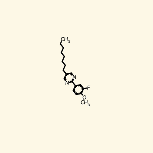 CCCCCCCCc1cnc(-c2ccc(OC)c(F)c2)nc1